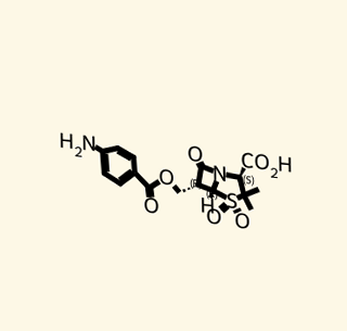 CC1(C)[C@H](C(=O)O)N2C(=O)[C@@H](COC(=O)c3ccc(N)cc3)[C@H]2S1(=O)=O